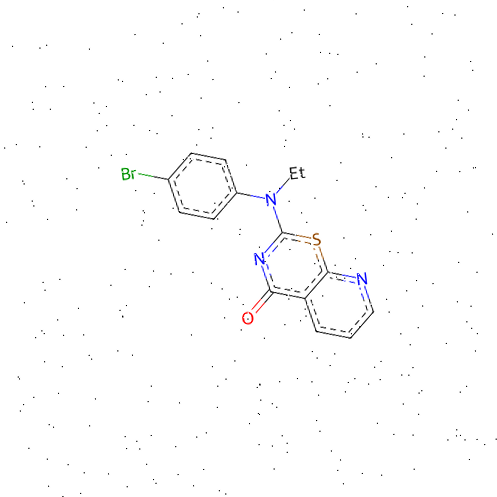 CCN(c1ccc(Br)cc1)c1nc(=O)c2cccnc2s1